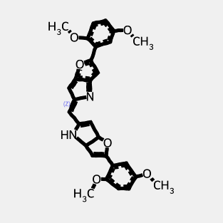 COc1ccc(OC)c(C2=CC3NC(/C=C4/C=c5oc(-c6cc(OC)ccc6OC)cc5=N4)=CC3O2)c1